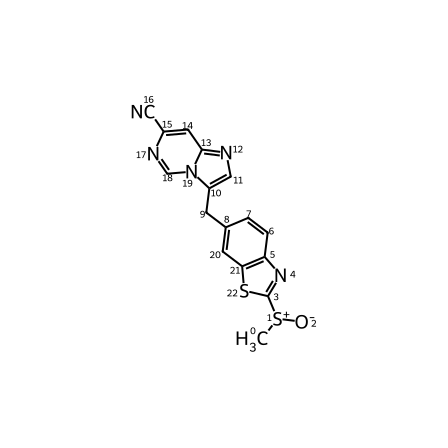 C[S+]([O-])c1nc2ccc(Cc3cnc4cc(C#N)ncn34)cc2s1